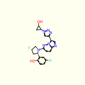 Oc1ccc(F)cc1[C@H]1C[C@H](F)CN1c1ccc2ncc(-c3cn(C4CC4O)nn3)n2n1